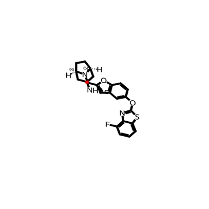 CC(=O)NC1C[C@H]2CC[C@@H](C1)N2Cc1cc2cc(Oc3nc4c(F)cccc4s3)ccc2o1